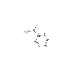 CC(P)c1ccccc1